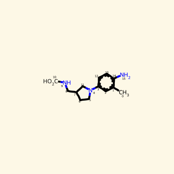 Cc1cc(N2CCC(CNC(=O)O)C2)ccc1N